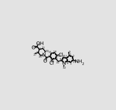 Cc1cc(N)cc2c1cc(Cc1c(Cl)ccc(C(=O)N3CCC(C(=O)O)C(C)C3)c1Cl)n2C